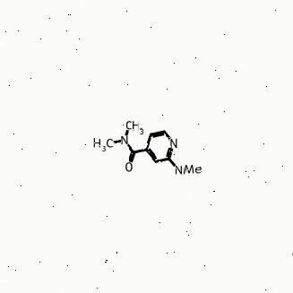 CNc1cc(C(=O)N(C)C)ccn1